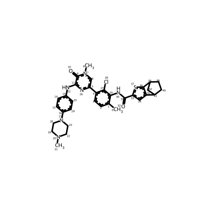 Cc1ccc(-c2cn(C)c(=O)c(Nc3ccc(N4CCN(C)CC4)cc3)n2)c(Cl)c1NC(=O)c1cc2c(s1)C1CCC2C1